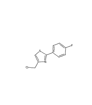 Fc1ccc(-c2nc(CCl)cs2)cc1